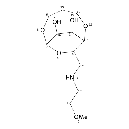 COCCNCC1OC2OCCCOC1C(O)C2O